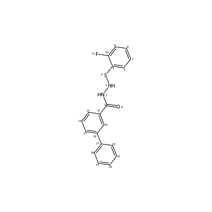 O=C(NNSc1ccccc1F)c1cccc(-c2ccccc2)c1